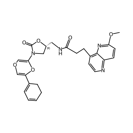 COc1ccc2nccc(CCC(=O)NC[C@@H]3CN(C4=COC=C(C5=CC=CCC5)O4)C(=O)O3)c2n1